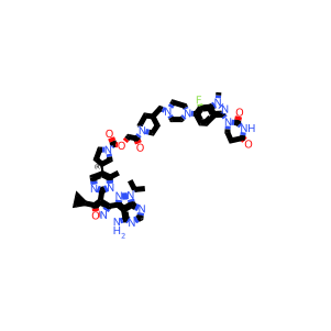 Cc1nc(-c2c(-c3nn(C(C)C)c4ncnc(N)c34)noc2C2CC2)ncc1[C@H]1CCN(C(=O)OCC(=O)N2CCC(CN3CCN(c4ccc5c(N6CCC(=O)NC6=O)nn(C)c5c4F)CC3)CC2)C1